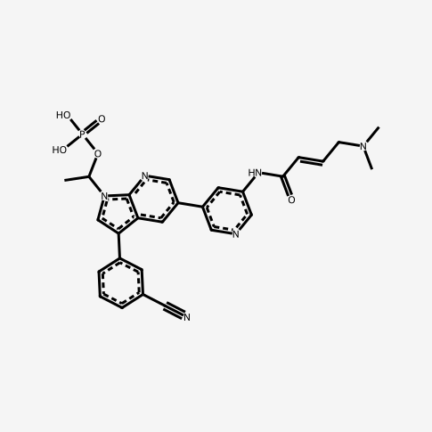 CC(OP(=O)(O)O)n1cc(-c2cccc(C#N)c2)c2cc(-c3cncc(NC(=O)/C=C/CN(C)C)c3)cnc21